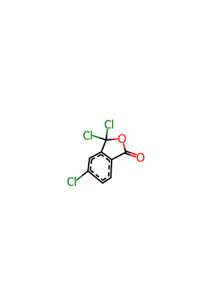 O=C1OC(Cl)(Cl)c2cc(Cl)ccc21